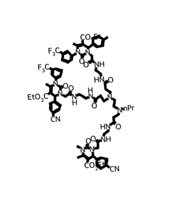 CCCN(CCC(=O)NCCNC(=O)CN1C(=O)N(C)C(C)=C(C(=O)OCC)C1c1ccc(C#N)cc1)CCN(CCC(=O)NCCNC(=O)CN1C(=O)N(c2cccc(C(F)(F)F)c2)C(C)=C(C(=O)OCC)C1c1ccc(C)cc1)CCC(=O)NCCNC(=O)CN1C(=O)N(c2cccc(C(F)(F)F)c2)C(C)=C(C(=O)OCC)C1c1ccc(C#N)cc1